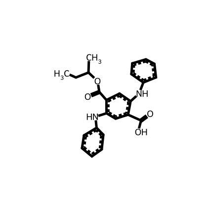 CCC(C)OC(=O)c1cc(Nc2ccccc2)c(C(=O)O)cc1Nc1ccccc1